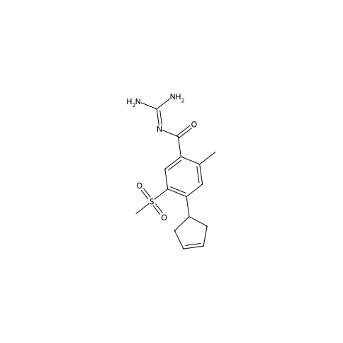 Cc1cc(C2CC=CC2)c(S(C)(=O)=O)cc1C(=O)N=C(N)N